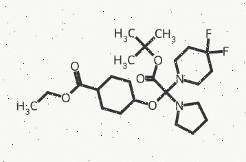 CCOC(=O)C1CCC(OC(C(=O)OC(C)(C)C)(N2CCCC2)N2CCC(F)(F)CC2)CC1